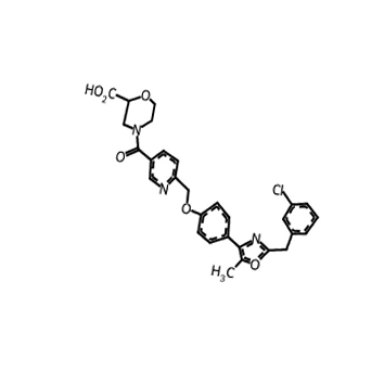 Cc1oc(Cc2cccc(Cl)c2)nc1-c1ccc(OCc2ccc(C(=O)N3CCOC(C(=O)O)C3)cn2)cc1